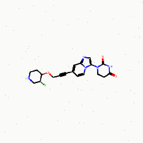 O=C1CCN(c2cnc3cc(C#CCO[C@@H]4CCNC[C@@H]4F)ccn23)C(=O)N1